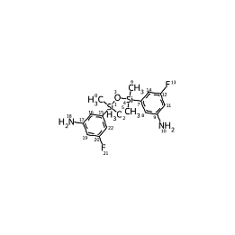 C[Si](C)(O[Si](C)(C)c1cc(N)cc(F)c1)c1cc(N)cc(F)c1